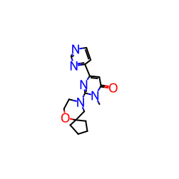 Cn1c(N2CCOC3(CCCC3)C2)nc(-c2ccncn2)cc1=O